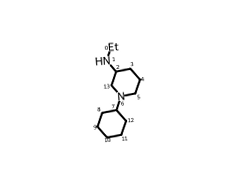 CCNC1CCCN(C2CCCCC2)C1